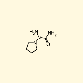 NC(=O)N(N)N1CCCC1